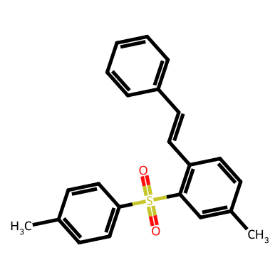 Cc1ccc(S(=O)(=O)c2cc(C)ccc2C=Cc2ccccc2)cc1